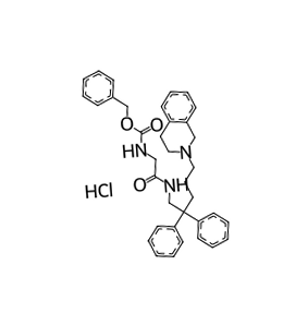 Cl.O=C(CNC(=O)OCc1ccccc1)NCC(CCCN1CCc2ccccc2C1)(c1ccccc1)c1ccccc1